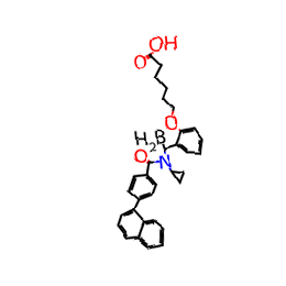 BC(c1ccccc1OCCCCCC(=O)O)N(C(=O)c1ccc(-c2cccc3ccccc23)cc1)C1CC1